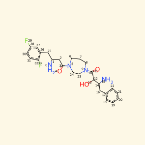 NC(CC(=O)N1CCCN(C(=O)C(O)C(N)Cc2ccccc2)CC1)Cc1cc(F)ccc1F